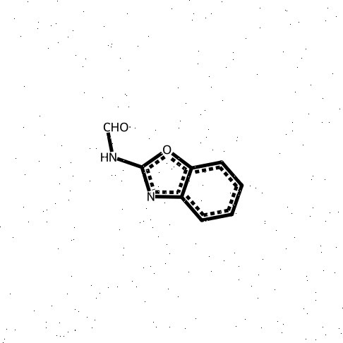 O=[C]Nc1nc2ccccc2o1